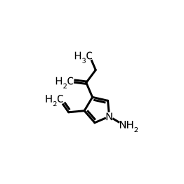 C=Cc1cn(N)cc1C(=C)CC